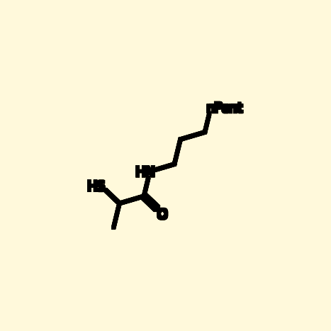 CCCCCCCCNC(=O)C(C)S